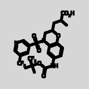 CC(CC1CN(S(=O)(=O)c2cncc(C(F)(F)F)c2)c2cc(NC(=O)OC(C)(C)C(F)(F)F)ccc2O1)C(=O)O